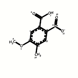 COc1cc(C(=O)O)c([N+](=O)[O-])cc1C